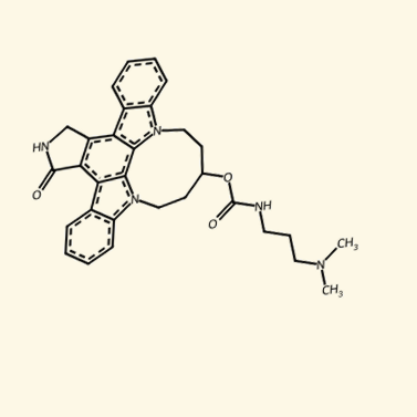 CN(C)CCCNC(=O)OC1CCn2c3ccccc3c3c4c(c5c6ccccc6n(c5c32)CC1)C(=O)NC4